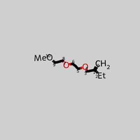 C=C(CC)COCCOCCOC